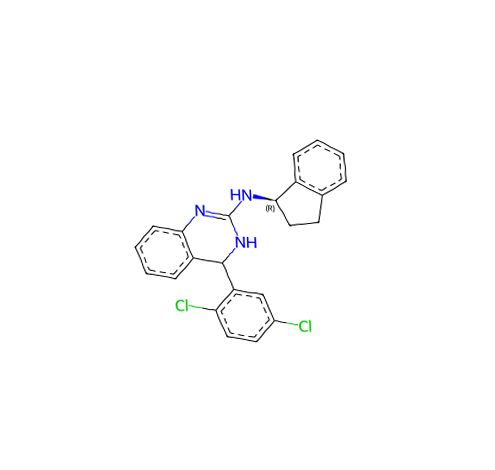 Clc1ccc(Cl)c(C2NC(N[C@@H]3CCc4ccccc43)=Nc3ccccc32)c1